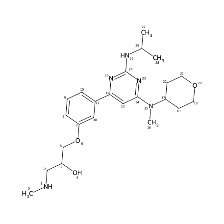 CNCC(O)COc1cccc(-c2cc(N(C)C3CCOCC3)nc(NC(C)C)n2)c1